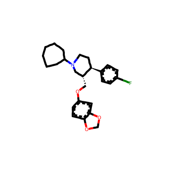 Fc1ccc([C@@H]2CCN(C3CCCCCC3)C[C@H]2COc2ccc3c(c2)OCO3)cc1